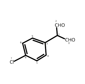 O=CC(C=O)c1ccc(Cl)cc1